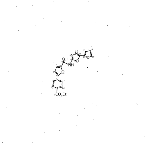 CCOC(=O)c1ccc(-c2ccc(C(=O)Nc3nnc(-c4ccco4)o3)o2)cc1